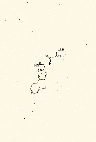 CCNC(=O)Nc1n[nH]c2cc(-c3ccccc3F)ccc12